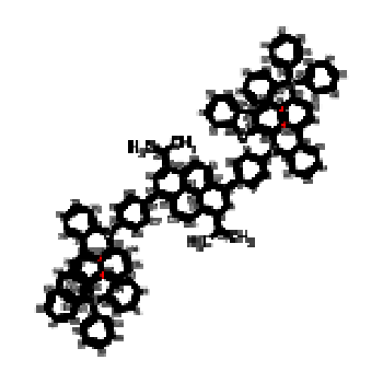 CC(C)c1cc(-c2ccc(N(c3ccccc3-c3ccc([Si](c4ccccc4)(c4ccccc4)c4ccccc4)cc3)c3cccc4c3oc3ccccc34)cc2)c2ccc3c(C(C)C)cc(-c4ccc(N(c5ccccc5-c5ccc([Si](c6ccccc6)(c6ccccc6)c6ccccc6)cc5)c5cccc6c5oc5ccccc56)cc4)c4ccc1c2c43